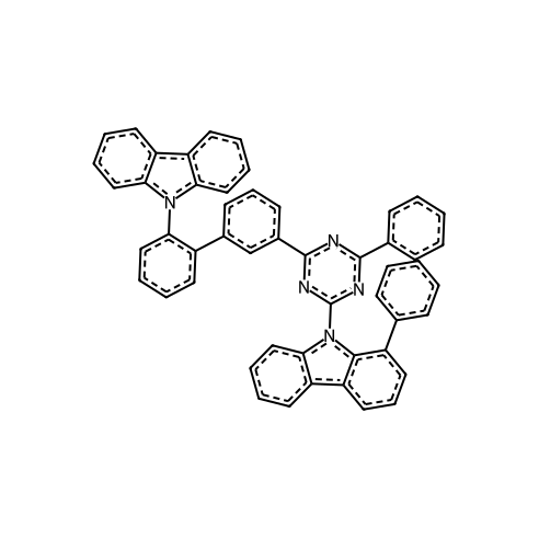 c1ccc(-c2nc(-c3cccc(-c4ccccc4-n4c5ccccc5c5ccccc54)c3)nc(-n3c4ccccc4c4cccc(-c5ccccc5)c43)n2)cc1